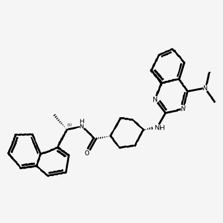 C[C@H](NC(=O)[C@H]1CC[C@@H](Nc2nc(N(C)C)c3ccccc3n2)CC1)c1cccc2ccccc12